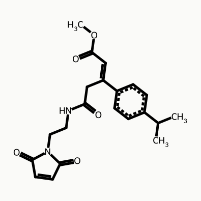 COC(=O)/C=C(\CC(=O)NCCN1C(=O)C=CC1=O)c1ccc(C(C)C)cc1